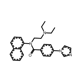 CCN(CC)CCN(C(=O)c1ccc(-n2ccnc2)cc1)c1cccc2ccccc12